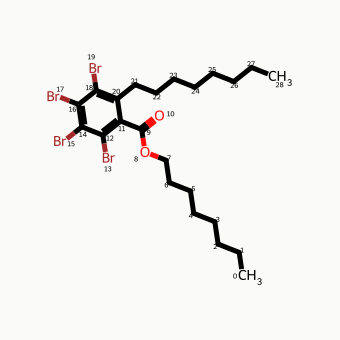 CCCCCCCCOC(=O)c1c(Br)c(Br)c(Br)c(Br)c1CCCCCCCC